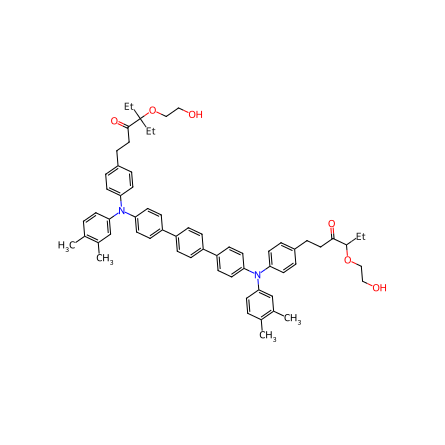 CCC(OCCO)C(=O)CCc1ccc(N(c2ccc(-c3ccc(-c4ccc(N(c5ccc(CCC(=O)C(CC)(CC)OCCO)cc5)c5ccc(C)c(C)c5)cc4)cc3)cc2)c2ccc(C)c(C)c2)cc1